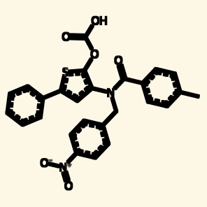 Cc1ccc(C(=O)N(Cc2ccc([N+](=O)[O-])cc2)c2cc(-c3ccccc3)sc2OC(=O)O)cc1